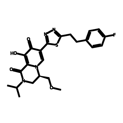 COC[C@H]1CN(C(C)C)C(=O)c2c(O)c(=O)c(-c3nnc(CCc4ccc(F)cc4)s3)cn21